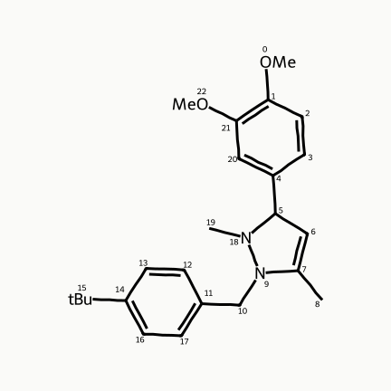 COc1ccc(C2C=C(C)N(Cc3ccc(C(C)(C)C)cc3)N2C)cc1OC